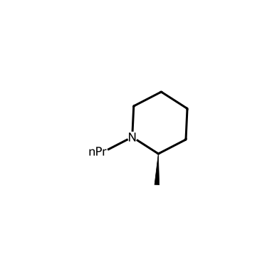 [CH2]CCN1CCCC[C@H]1C